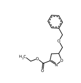 CCOC(=O)C1=NOC(COCc2ccccc2)C1